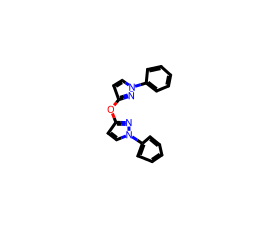 c1ccc(-n2ccc(Oc3ccn(-c4ccccc4)n3)n2)cc1